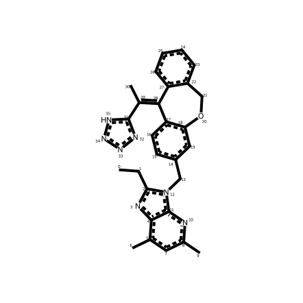 CCc1nc2c(C)cc(C)nc2n1Cc1ccc2c(c1)OCc1ccccc1/C2=C(\C)c1nnn[nH]1